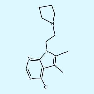 Cc1c(C)n(CCN2CCCC2)c2ncnc(Cl)c12